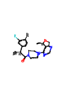 CCC[C@@H](C(=O)N1CCN(c2ncnc3c2[C@@H](C)OC3)CC1)c1ccc(CC)c(F)c1